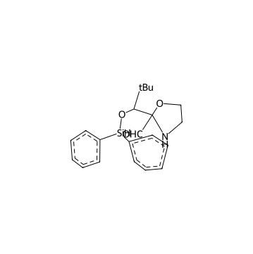 CC(C)(C)C(O[SiH](c1ccccc1)c1ccccc1)C1(C=O)NCCO1